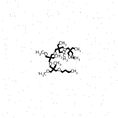 CCCCOCC(CC)(COC)COCC(CC)(COC)COCC(CC)(COC)COCC(CC)(CO)COC